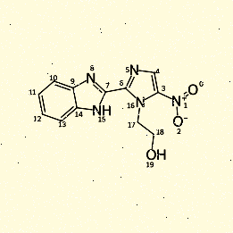 O=[N+]([O-])c1cnc(-c2nc3ccccc3[nH]2)n1CCO